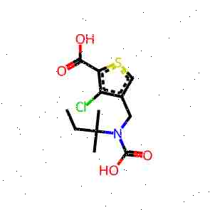 CCC(C)(C)N(Cc1csc(C(=O)O)c1Cl)C(=O)O